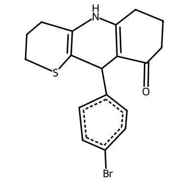 O=C1CCCC2=C1C(c1ccc(Br)cc1)C1=C(CCCS1)N2